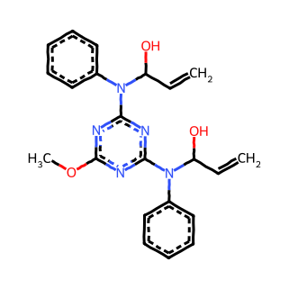 C=CC(O)N(c1ccccc1)c1nc(OC)nc(N(c2ccccc2)C(O)C=C)n1